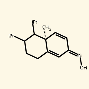 CC(C)C1CCC2=C/C(=N\O)C=C[C@]2(C)C1C(C)C